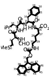 CSCC[C@H](NC=O)C(=O)N[C@@H](CC(C)C)C(=O)N[C@@H](Cc1ccccc1)C(=O)N[C@@H](CCCCNC(=O)OCC1c2ccccc2-c2ccccc21)C(=O)O